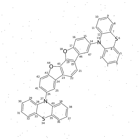 c1ccc2c(c1)Sc1ccccc1N2c1ccc2oc3c(ccc4c5cc(N6c7ccccc7Sc7ccccc76)ccc5oc43)c2c1